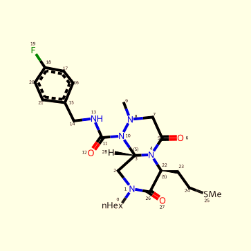 CCCCCCN1C[C@H]2N(C(=O)CN(C)N2C(=O)NCc2ccc(F)cc2)[C@@H](CCSC)C1=O